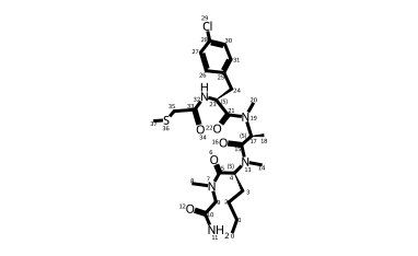 CCCC[C@@H](C(=O)N(C)CC(N)=O)N(C)C(=O)[C@H](C)N(C)C(=O)[C@H](Cc1ccc(Cl)cc1)NC(=O)CSC